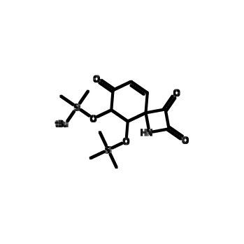 CC(C)(C)[Si](C)(C)OC1C(=O)C=CC2(NC(=O)C2=O)C1O[Si](C)(C)C